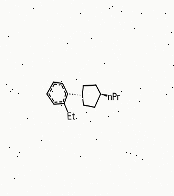 CCC[C@H]1CC[C@H](c2ccccc2CC)CC1